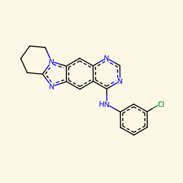 Clc1cccc(Nc2ncnc3cc4c(cc23)nc2n4CCCC2)c1